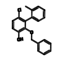 Cc1ccccc1-c1c(Cl)ccc(O)c1OCc1ccccc1